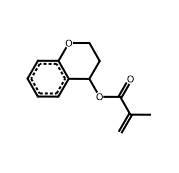 C=C(C)C(=O)OC1CCOc2ccccc21